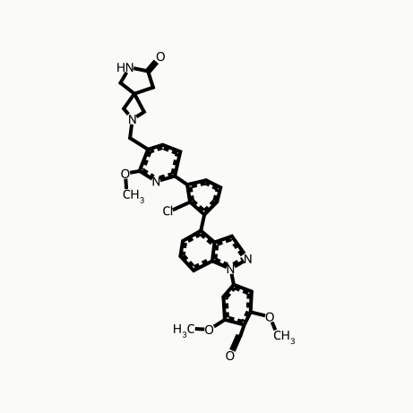 COc1cc(-n2ncc3c(-c4cccc(-c5ccc(CN6CC7(CNC(=O)C7)C6)c(OC)n5)c4Cl)cccc32)cc(OC)c1C=O